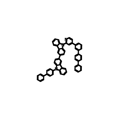 c1ccc(-c2ccc(-c3cccc(-c4ccnc(-n5c6ccccc6c6cc(-c7ccc8c(c7)c7ccccc7n8-c7ccc(-c8ccccc8)cc7)ccc65)c4)c3)cc2)cc1